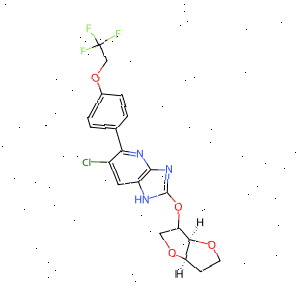 FC(F)(F)COc1ccc(-c2nc3nc(OC4CO[C@@H]5CCO[C@H]45)[nH]c3cc2Cl)cc1